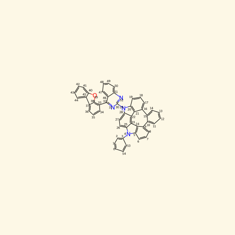 c1ccc(-n2c3cccc4c5ccccc5c5cccc6c5c5c(c43)c2ccc5n6-c2nc(-c3cccc4c3oc3ccccc34)c3ccccc3n2)cc1